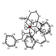 O=C(O)[C@@H]1[C@H]2CCC[C@@H](CN1C(=O)OCc1ccccc1)N2C(=O)N1c2ccccc2C=Cc2ccccc21